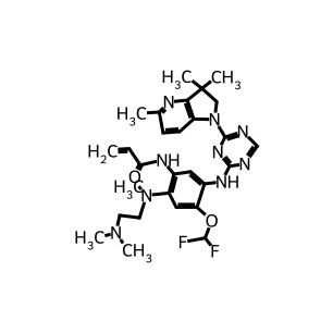 C=CC(=O)Nc1cc(Nc2ncnc(N3CC(C)(C)c4nc(C)ccc43)n2)c(OC(F)F)cc1N(C)CCN(C)C